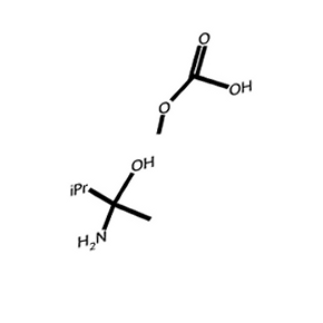 CC(C)C(C)(N)O.COC(=O)O